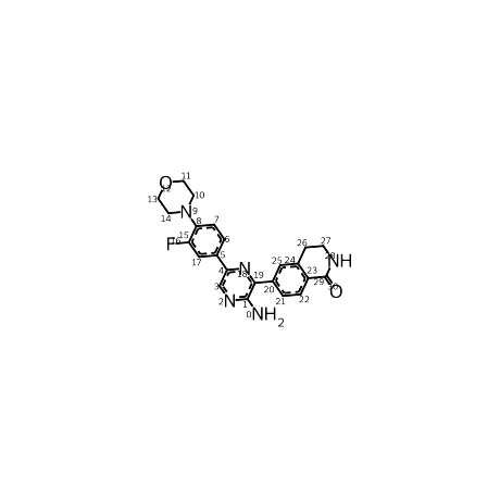 Nc1ncc(-c2ccc(N3CCOCC3)c(F)c2)nc1-c1ccc2c(c1)CCNC2=O